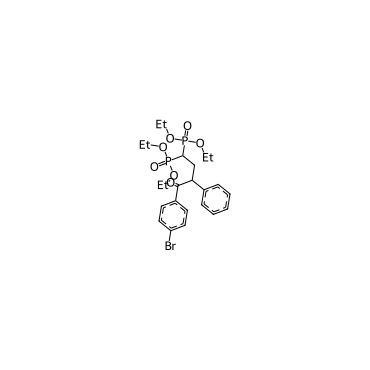 CCOP(=O)(OCC)C(CC(C(=O)c1ccc(Br)cc1)c1ccccc1)P(=O)(OCC)OCC